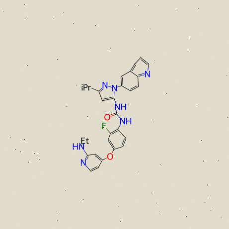 CCNc1cc(Oc2ccc(NC(=O)Nc3cc(C(C)C)nn3-c3ccc4ncccc4c3)c(F)c2)ccn1